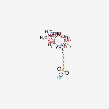 CC[C@H]1OC(=O)[C@H](C)[C@@H](O)C[C@@H](O[C@H]2C[C@@H](N(C)C)C[C@@H](C)O2)[C@](C)(O)C[C@@H](C)CN(C(=O)CCCCCCCCCCCC[PH](c2ccccc2)(c2ccccc2)C2CCC(F)(F)CC2)[C@H](C)C[C@]1(C)O